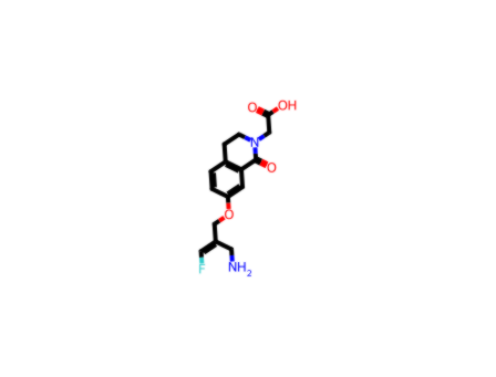 NC/C(=C\F)COc1ccc2c(c1)C(=O)N(CC(=O)O)CC2